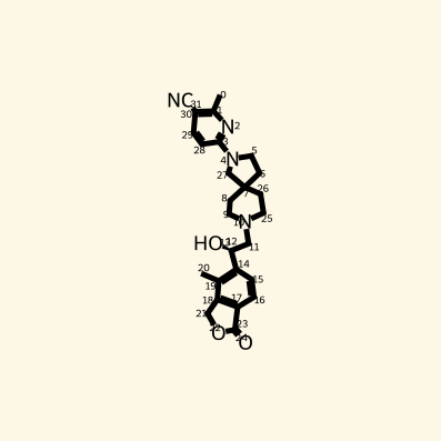 Cc1nc(N2CCC3(CCN(C[C@H](O)c4ccc5c(c4C)COC5=O)CC3)C2)ccc1C#N